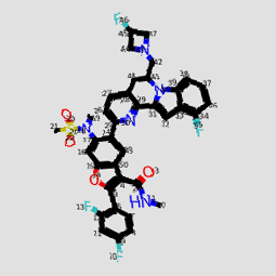 CNC(=O)c1c(-c2ccc(F)cc2F)oc2cc(N(C)S(C)(=O)=O)c(-c3ccc4c(n3)-c3cc5c(F)cccc5n3C(CN3CC(F)C3)C4)cc12